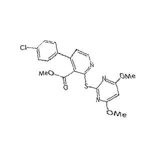 COC(=O)c1c(-c2ccc(Cl)cc2)ccnc1Sc1nc(OC)cc(OC)n1